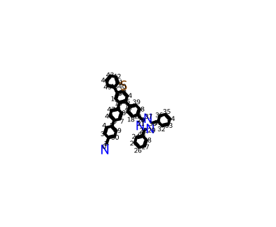 N#Cc1ccc(-c2ccc(-c3cc4c(cc3-c3ccc(-c5nc(-c6ccccc6)nc(C6C=CC=CC6)n5)cc3)sc3ccccc34)cc2)cc1